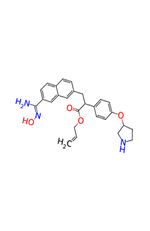 C=CCOC(=O)C(Cc1ccc2ccc(C(N)=NO)cc2c1)c1ccc(OC2CCNC2)cc1